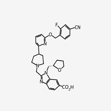 N#Cc1ccc(COc2cccc(C3CCN(Cc4nc5ccc(C(=O)O)cc5n4C[C@@H]4CCCO4)CC3)n2)c(F)c1